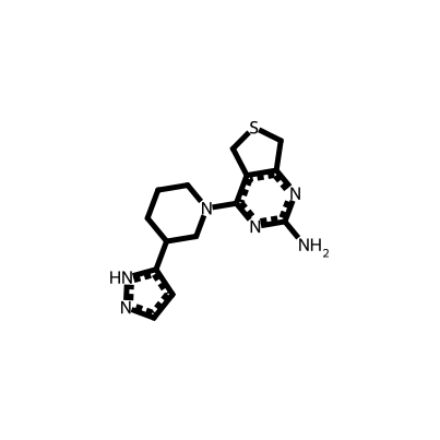 Nc1nc2c(c(N3CCCC(c4ccn[nH]4)C3)n1)CSC2